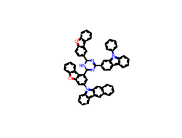 c1ccc(-n2c3ccccc3c3ccc(C4=NC(c5ccc6oc7ccccc7c6c5)NC(c5cc(-n6c7ccccc7c7cc8ccccc8cc76)cc6oc7ccccc7c56)=N4)cc32)cc1